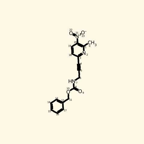 Cc1nc(C#CCNC(=O)OCc2ccccc2)ccc1[N+](=O)[O-]